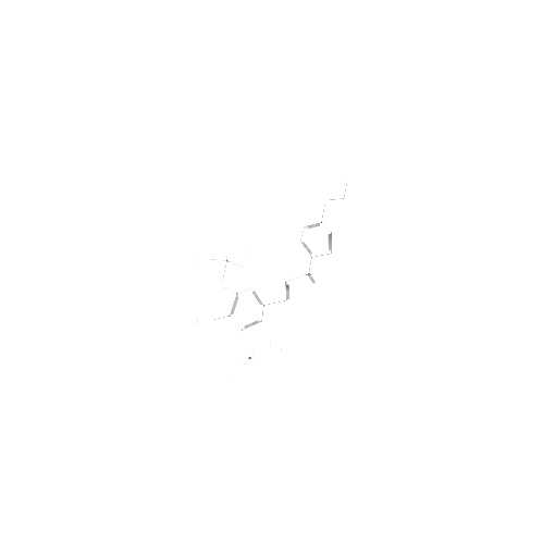 CCOc1ccc(C(=O)C=Cc2cc(OC(C)(C)C)c(C)c(OC(C)(C)C)c2)cc1